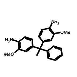 COc1cc(C(C)(c2ccccc2)c2ccc(N)c(OC)c2)ccc1N